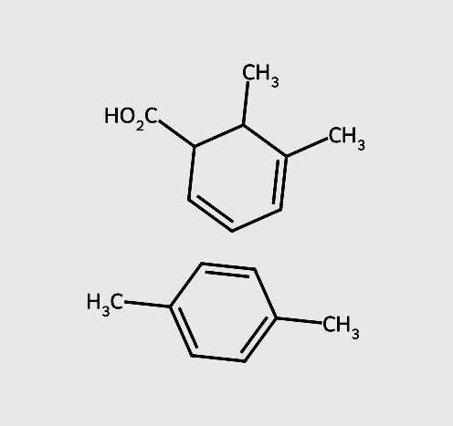 CC1=CC=CC(C(=O)O)C1C.Cc1ccc(C)cc1